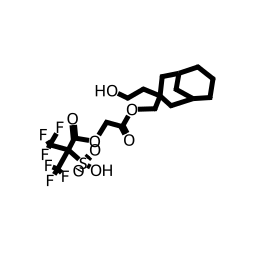 O=C(COC(=O)C(C(F)(F)F)(C(F)(F)F)S(=O)(=O)O)OCC1(CCO)CC2CCCC(C2)C1